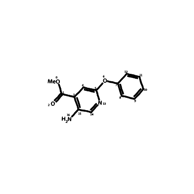 COC(=O)c1cc(Oc2ccccc2)ncc1N